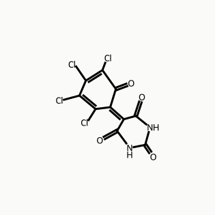 O=C1NC(=O)C(=C2C(=O)C(Cl)=C(Cl)C(Cl)=C2Cl)C(=O)N1